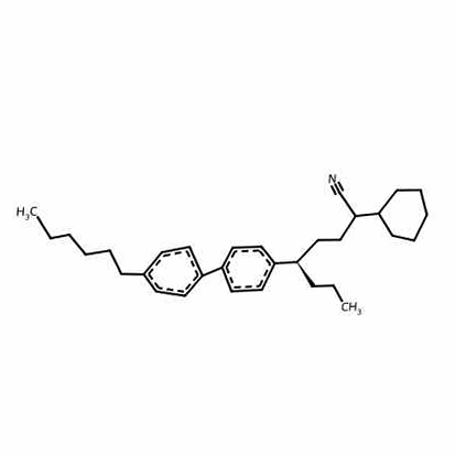 CCCCCCc1ccc(-c2ccc([C@H](CCC)CCC(C#N)C3CCCCC3)cc2)cc1